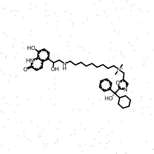 C[N+](C)(CCCCCCCCCNCC(O)c1ccc(O)c2[nH]c(=O)ccc12)Cc1cnc([C@](O)(c2ccccc2)C2CCCCC2)o1